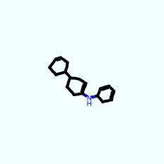 C1=CCC(NC2=CCC(C3CC=CCC3)CC2)C=C1